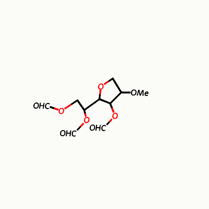 COC1COC(C(COC=O)OC=O)C1OC=O